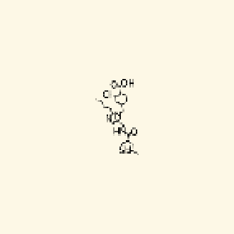 CCCCc1ncc(CNC(=O)C(CS)CC(C)C)n1Cc1ccc(C(=O)O)c(Cl)c1